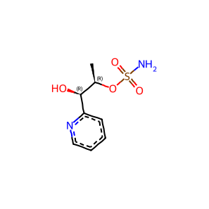 C[C@@H](OS(N)(=O)=O)[C@H](O)c1ccccn1